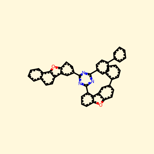 c1ccc(-c2ccc(-c3nc(-c4ccc5oc6c7ccccc7ccc6c5c4)nc(-c4cccc5oc6ccc(-c7ccccc7)cc6c45)n3)cc2)cc1